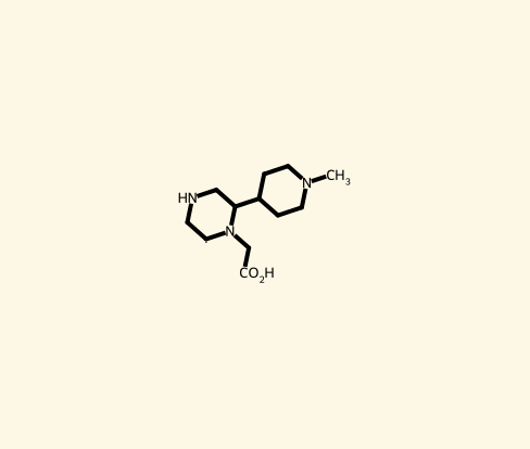 CN1CCC(C2CNC[CH]N2CC(=O)O)CC1